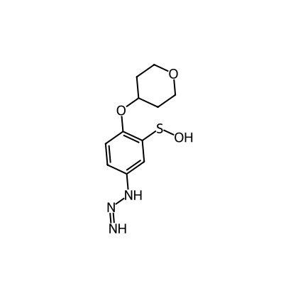 N=NNc1ccc(OC2CCOCC2)c(SO)c1